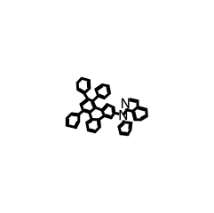 C1=CC(c2cc(-c3ccccc3)c3c4ccccc4c4cc(N(c5ccccc5)c5nccc6ccccc56)ccc4c3c2-c2ccccc2)=CCC1